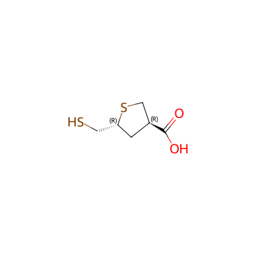 O=C(O)[C@@H]1CS[C@@H](CS)C1